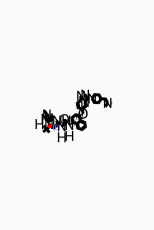 CN(C)CC1CCN(c2nnc3ccc(O[C@@H]4CC[C@H](NC(=O)N/C(=C/C(=N)C(C)(C)C)Nc5cnn(C)c5)c5ccccc54)cn23)CC1